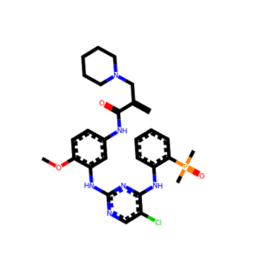 C=C(CN1CCCCC1)C(=O)Nc1ccc(OC)c(Nc2ncc(Cl)c(Nc3ccccc3P(C)(C)=O)n2)c1